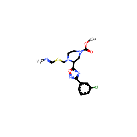 CN=CSCN1CCN(C(=O)OC(C)(C)C)CC1c1nc(-c2cccc(Cl)c2)no1